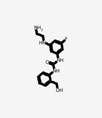 NCCNc1cc(F)cc(NC(=O)Nc2ccccc2CO)c1